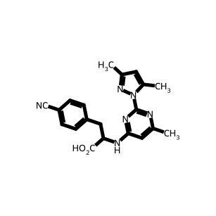 Cc1cc(NC(Cc2ccc(C#N)cc2)C(=O)O)nc(-n2nc(C)cc2C)n1